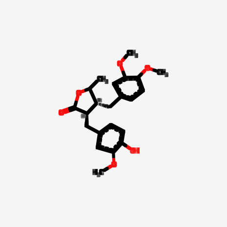 COc1cc(C[C@H]2C(=O)OC(C)[C@@H]2Cc2ccc(OC)c(OC)c2)ccc1O